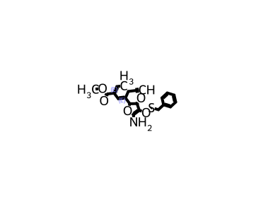 C#CC/C(=C\C(=C/C)C(=O)OC)C1OC(N)=C(OSCc2ccccc2)C1=O